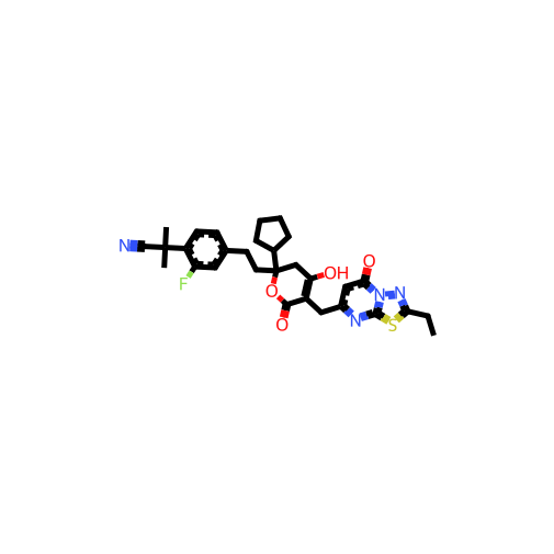 CCc1nn2c(=O)cc(CC3=C(O)CC(CCc4ccc(C(C)(C)C#N)c(F)c4)(C4CCCC4)OC3=O)nc2s1